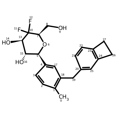 Cc1ccc([C@@H]2O[C@H](CO)C(F)(F)[C@H](O)[C@H]2O)cc1Cc1ccc2c(c1)CC2